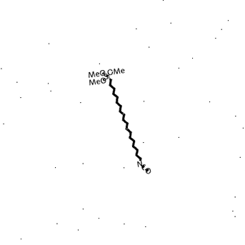 CO[Si](CCCCCCCCCCCCCCCCCCCN=C=O)(OC)OC